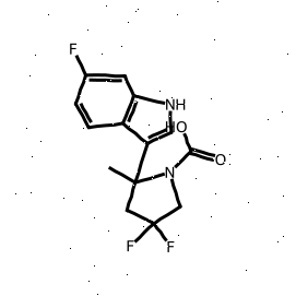 CC1(c2c[nH]c3cc(F)ccc23)CC(F)(F)CN1C(=O)O